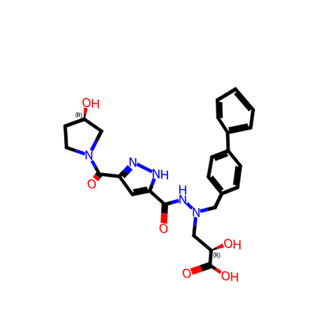 O=C(NN(Cc1ccc(-c2ccccc2)cc1)C[C@@H](O)C(=O)O)c1cc(C(=O)N2CC[C@@H](O)C2)n[nH]1